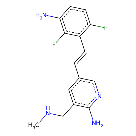 CNCc1cc(C=Cc2c(F)ccc(N)c2F)cnc1N